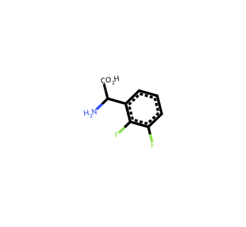 NC(C(=O)O)c1cccc(F)c1F